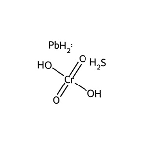 S.[O]=[Cr](=[O])([OH])[OH].[PbH2]